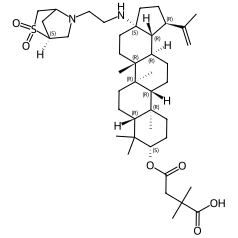 C=C(C)[C@@H]1CC[C@]2(NCCN3C[C@@H]4CC3CS4(=O)=O)CC[C@]3(C)[C@H](CC[C@@H]4[C@@]5(C)CC[C@H](OC(=O)CC(C)(C)C(=O)O)C(C)(C)[C@@H]5CC[C@]43C)[C@@H]12